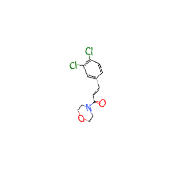 O=C(C=Cc1ccc(Cl)c(Cl)c1)N1CCOCC1